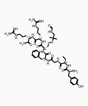 CC[C@@H](NC(=O)[C@@H](N)Cc1ccc(O)cc1)C(=O)NCC(=O)N[C@@H](Cc1ccccc1)C(=O)N[C@@H](CSSC(C)(C)CNC=O)C(=O)N[C@@H](CCCNC(=N)N)C(=O)N[C@@H](CCCNC(=N)N)C(N)=O